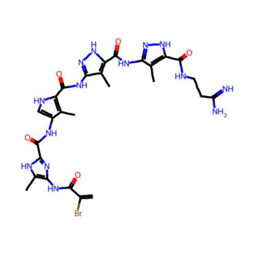 C=C(Br)C(=O)Nc1nc(C(=O)Nc2c[nH]c(C(=O)Nc3n[nH]c(C(=O)Nc4n[nH]c(C(=O)NCCC(=N)N)c4C)c3C)c2C)[nH]c1C